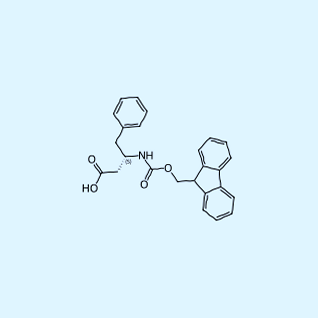 O=C(O)C[C@H](Cc1ccccc1)NC(=O)OCC1c2ccccc2-c2ccccc21